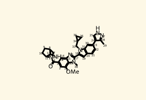 COc1cc(C(=O)N2CC3CCC2C3N)cc2nc(-c3cc4ccc(-c5c[nH]nc5C)cc4n3CC3CC3)n(C)c12